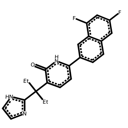 CCC(CC)(c1ncc[nH]1)c1ccc(-c2ccc3cc(F)cc(F)c3c2)[nH]c1=O